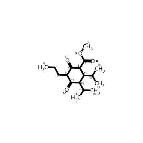 CCCC1C(=O)C(C(=O)OC)C(C(C)C)C(C(C)C)C1=O